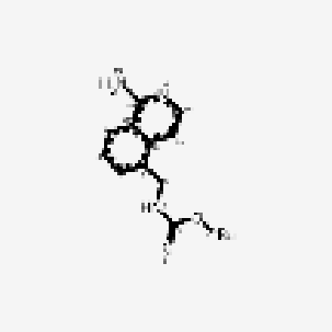 CC(C)(C)OC(=O)NCc1cccc2c(N)nccc12